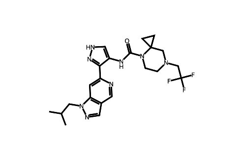 CC(C)Cn1ncc2cnc(-c3n[nH]cc3NC(=O)N3CCN(CC(F)(F)F)CC34CC4)cc21